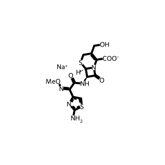 CO/N=C(\C(=O)N[C@@H]1C(=O)N2C(C(=O)[O-])=C(CO)CS[C@H]12)c1csc(N)n1.[Na+]